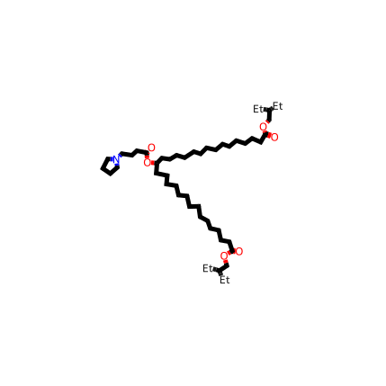 CCC(CC)COC(=O)CCCCCCCCCCCCCCC(CCCCCCCCCCCCCCC(=O)OCC(CC)CC)OC(=O)CCCN1CCCC1